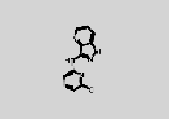 Clc1cccc(Nc2n[nH]c3cccnc23)n1